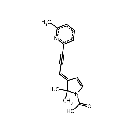 Cc1cccc(C#C/C=C2\C=CN(C(=O)O)C2(C)C)n1